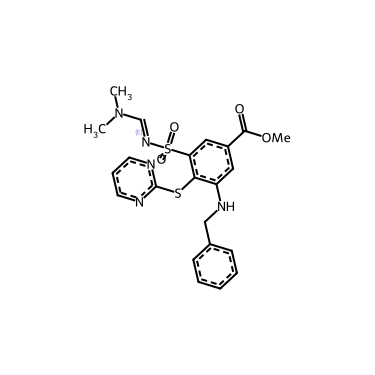 COC(=O)c1cc(NCc2ccccc2)c(Sc2ncccn2)c(S(=O)(=O)/N=C/N(C)C)c1